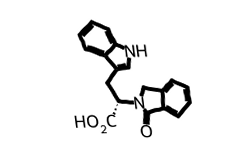 O=C(O)[C@H](Cc1c[nH]c2ccccc12)N1Cc2ccccc2C1=O